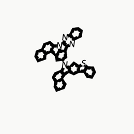 c1ccc2c(c1)ccc1c2c2cc3c(cc2n1-c1cc2c4nc5ccccc5nc4n4c5ccc6ccccc6c5c(c1)c24)sc1ccccc13